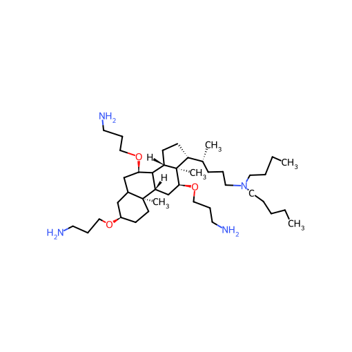 CCCCCN(CCCC)CCC[C@@H](C)[C@H]1CC[C@H]2C3[C@H](OCCCN)CC4C[C@H](OCCCN)CC[C@]4(C)[C@H]3C[C@H](OCCCN)[C@]12C